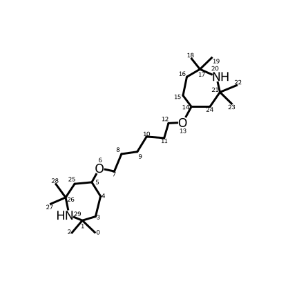 CC1(C)CCC(OCCCCCCOC2CCC(C)(C)NC(C)(C)C2)CC(C)(C)N1